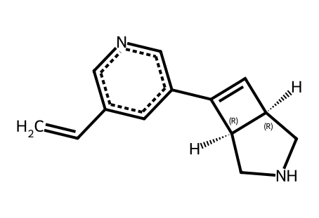 C=Cc1cncc(C2=C[C@H]3CNC[C@@H]23)c1